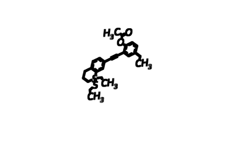 CCSS1(CC)CCCc2ccc(C#Cc3cc(CC)ccc3OC(C)=O)cc21